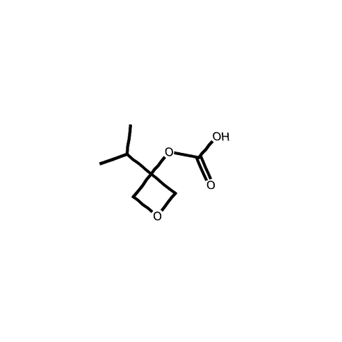 CC(C)C1(OC(=O)O)COC1